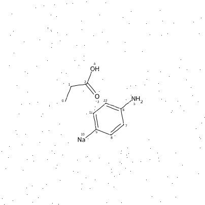 CCC(=O)O.Nc1cc[c]([Na])cc1